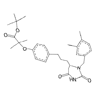 Cc1ccc(CN2C(=O)NC(=O)C2CCCc2ccc(OC(C)(C)C(=O)OC(C)(C)C)cc2)cc1C